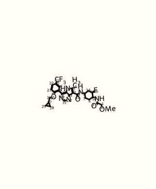 COCC(=O)NC1CCC(NC(=O)c2c(C)[nH]c3c(-c4cc(C(F)(F)F)ccc4OCC4CC4)ncnc23)CC1F